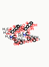 CC[C@@]1(O)C[C@H](O[C@H]2C[C@H](N(C)C)[C@H](O[C@H]3C[C@H](O)[C@H](O[C@H]4CCC(=O)[C@H](C)O4)[C@H](C)O3)[C@H](C)O2)c2c(cc3c(c2O)C(=O)c2c(O)cccc2C3=O)[C@H]1C(=O)OC.CC[C@@]1(O)C[C@H](O[C@H]2C[C@H](N(C)C)[C@H](O[C@H]3C[C@H](O)[C@H](O[C@H]4CCC(=O)[C@H](C)O4)[C@H](C)O3)[C@H](C)O2)c2c(cc3c(c2O)C(=O)c2c(O)cccc2C3=O)[C@H]1C(=O)OC